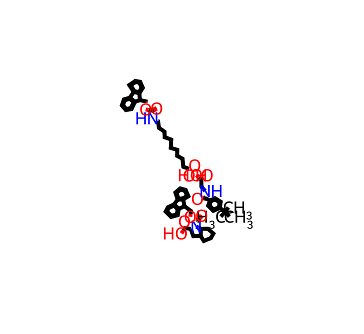 CC(C)(C)c1ccc(C(=O)NCC(=O)O)cc1.O=C(O)C1CC2CCCCC2N1C(=O)OCC1c2ccccc2-c2ccccc21.O=C(O)CCCCCCCCCCNC(=O)OCC1c2ccccc2-c2ccccc21